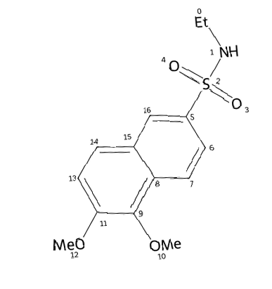 CCNS(=O)(=O)c1ccc2c(OC)c(OC)ccc2c1